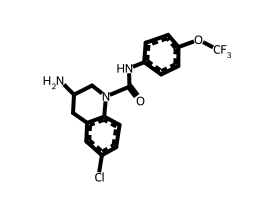 NC1Cc2cc(Cl)ccc2N(C(=O)Nc2ccc(OC(F)(F)F)cc2)C1